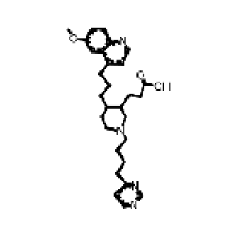 COc1ccc2nccc(CCCC3CCN(CCCCc4ccncn4)CC3CCC(=O)O)c2c1